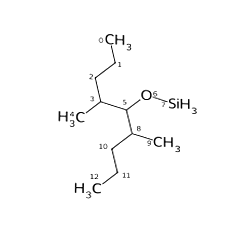 CCCC(C)C(O[SiH3])C(C)CCC